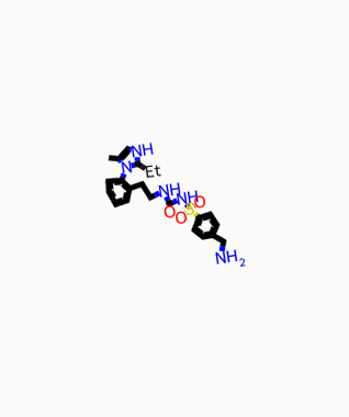 CCC1NC=C(C)N1c1ccccc1CCNC(=O)NS(=O)(=O)c1ccc(CN)cc1